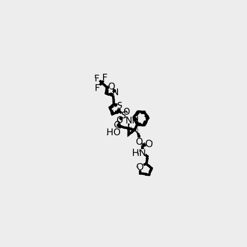 O=C(NCC1CCCO1)OC[C@@]1(c2ccccc2)C[C@]1(NS(=O)(=O)c1ccc(-c2cc(C(F)(F)F)on2)s1)C(=O)O